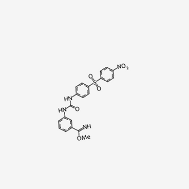 COC(=N)c1cccc(NC(=O)Nc2ccc(S(=O)(=O)c3ccc([N+](=O)[O-])cc3)cc2)c1